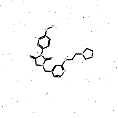 O=C1CN(Cc2ccnc(OCCN3CCCC3)c2)C(=O)N1c1ccc(OC(F)(F)F)cc1